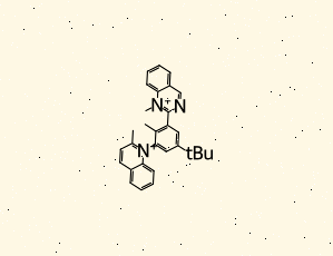 Cc1c(-c2ncc3ccccc3[n+]2C)cc(C(C)(C)C)cc1-[n+]1c(C)ccc2ccccc21